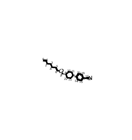 C=CCCCCCOC[C@H]1CC[C@H](c2ccc(C#N)cc2)CC1